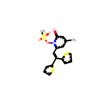 Cc1cc(C=C(c2cccs2)c2cccs2)n(OS(C)(=O)=O)c(=O)c1